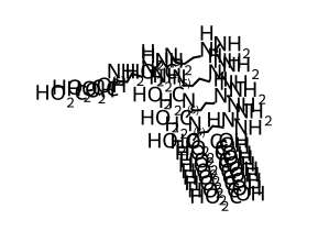 N=C(N)NCCC[C@H](N)C(=O)O.N=C(N)NCCC[C@H](N)C(=O)O.N=C(N)NCCC[C@H](N)C(=O)O.N=C(N)NCCC[C@H](N)C(=O)O.N=C(N)NCCC[C@H](N)C(=O)O.O=C(O)O.O=C(O)O.O=C(O)O.O=C(O)O.O=C(O)O.O=C(O)O.O=C(O)O.O=C(O)O.O=C(O)O.O=C(O)O.O=C(O)O.O=C(O)O